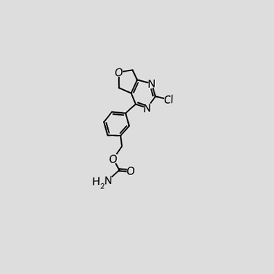 NC(=O)OCc1cccc(-c2nc(Cl)nc3c2COC3)c1